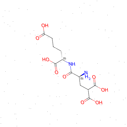 N[C@@H](CC(C(=O)O)C(=O)O)C(=O)N[C@@H](CCCC(=O)O)C(=O)O